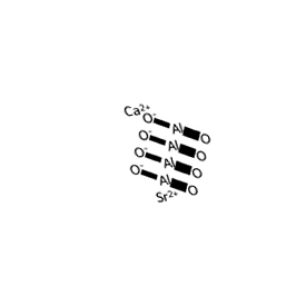 [Ca+2].[O]=[Al][O-].[O]=[Al][O-].[O]=[Al][O-].[O]=[Al][O-].[Sr+2]